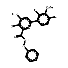 COc1c(Cl)ccc(-c2cc(N)c(Cl)c(C(=O)NOc3ccccc3)n2)c1F